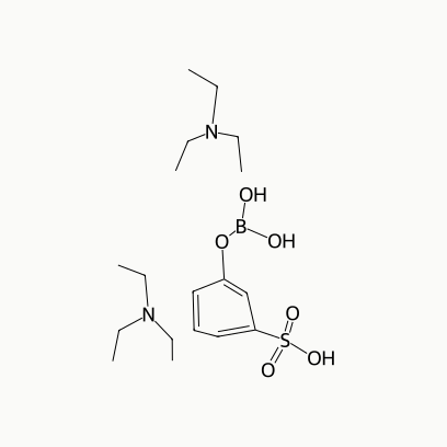 CCN(CC)CC.CCN(CC)CC.O=S(=O)(O)c1cccc(OB(O)O)c1